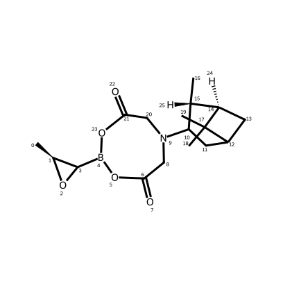 C[C@@H]1OC1B1OC(=O)CN(C2CC3C[C@H]([C@H]2C)C3(C)C)CC(=O)O1